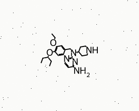 CCOc1cc(CN(c2nccc(N)n2)C2CCNCC2)ccc1OC(CC)CC